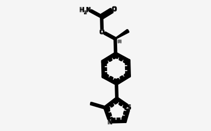 Cc1ncsc1-c1ccc([C@H](C)OC(N)=O)cc1